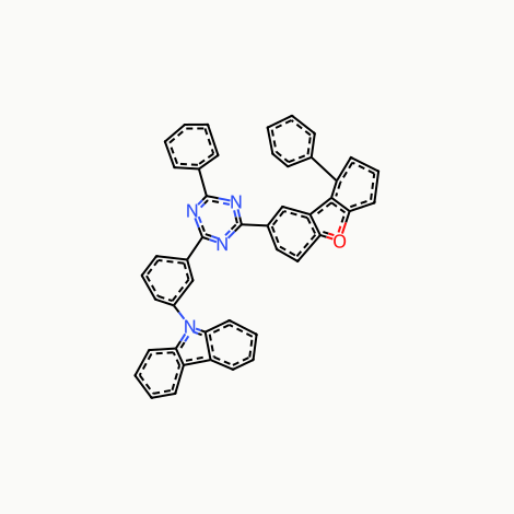 c1ccc(-c2nc(-c3cccc(-n4c5ccccc5c5ccccc54)c3)nc(-c3ccc4oc5cccc(-c6ccccc6)c5c4c3)n2)cc1